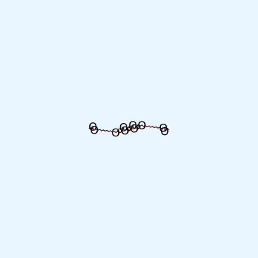 C=CC(=O)OCCCCCCCCCCCOc1ccc(OC(=O)c2ccc(OC(=O)C3CCC(OCCCCCCCCCCCOC(=O)C=C)CC3)cc2)cc1